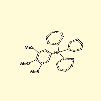 COc1c(SC)cc([PH](c2ccccc2)(c2ccccc2)c2ccccc2)cc1SC